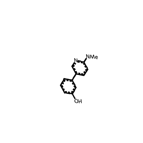 CNc1ccc(-c2cccc(O)c2)cn1